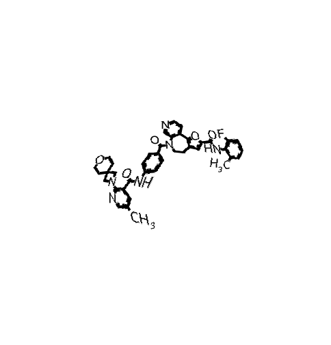 Cc1cnc(N2CC3(CCOCC3)C2)c(C(=O)Nc2ccc(C(=O)N3CCc4cc(C(=O)Nc5c(C)cccc5F)oc4-c4ccncc43)cc2)c1